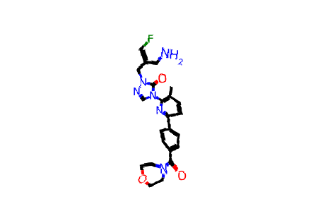 Cc1ccc(-c2ccc(C(=O)N3CCOCC3)cc2)nc1-n1cnn(C/C(=C/F)CN)c1=O